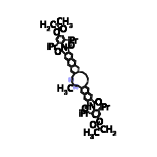 C=C(C)C(=O)Oc1cc(C(C)C)c(N2C(=O)c3cc4cc5c(cc4cc3C2=O)CC2CCCCc3cc4cc6c(cc4cc3/C=C(C)/C=C\C2=C5)C(=O)N(c2c(C(C)C)cc(OC(=O)C(=C)C)cc2C(C)C)C6=O)c(C(C)C)c1